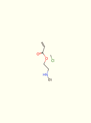 C=CC(=O)OCCNCC.CCl